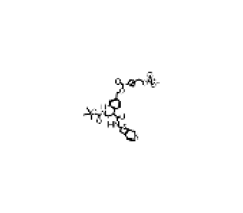 CC(C)(C)OC(=O)NCC(C(=O)Nc1cc2ccncc2s1)c1ccc(COC(=O)C23CC(CO[N+](=O)[O-])(C2)C3)cc1